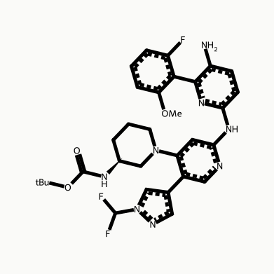 COc1cccc(F)c1-c1nc(Nc2cc(N3CCC[C@H](NC(=O)OC(C)(C)C)C3)c(-c3cnn(C(F)F)c3)cn2)ccc1N